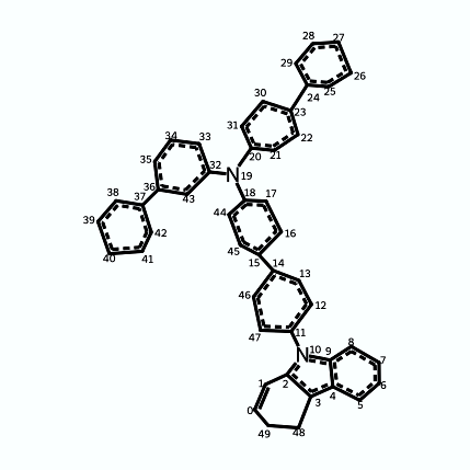 C1=Cc2c(c3ccccc3n2-c2ccc(-c3ccc(N(c4ccc(-c5ccccc5)cc4)c4cccc(-c5ccccc5)c4)cc3)cc2)CC1